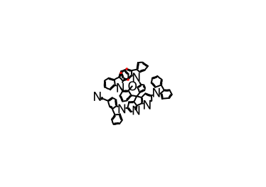 N#Cc1ccc2c(c1)c1ccccc1n2-c1cnc2c(c1)C1(c3cc(-n4c5ccccc5c5ccccc54)cnc3-2)c2cccc(-n3c4ccccc4c4ccccc43)c2Oc2c(-n3c4ccccc4c4ccccc43)cccc21